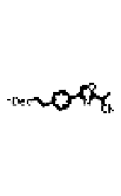 CCCCCCCCCCCCc1ccc(-c2coc(C(C)C#N)n2)cc1